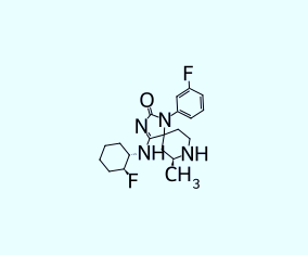 C[C@H]1CC2(CCN1)C(N[C@H]1CCCC[C@@H]1F)=NC(=O)N2c1cccc(F)c1